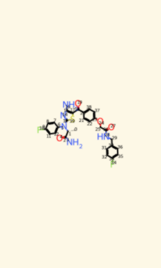 C[C@H](C(N)=O)N(c1ccc(F)cc1)c1nc(N)c(C(=O)c2ccc(OCC(=O)NCc3ccc(F)cc3)cc2)s1